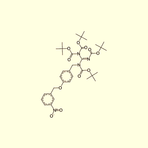 CC(C)(C)OC(=O)N=C(N(Cc1ccc(OCc2cccc([N+](=O)[O-])c2)cc1)C(=O)OC(C)(C)C)N(C(=O)OC(C)(C)C)C(=O)OC(C)(C)C